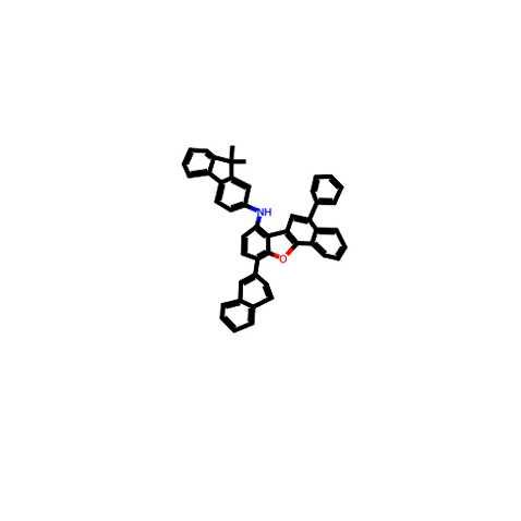 CC1(C)c2ccccc2-c2ccc(Nc3ccc(-c4ccc5ccccc5c4)c4oc5c6ccccc6c(-c6ccccc6)cc5c34)cc21